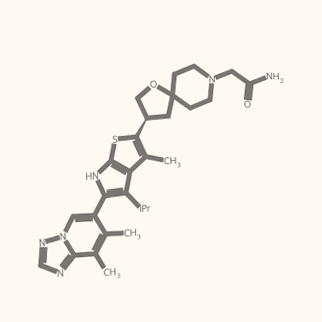 Cc1c(-c2[nH]c3sc([C@H]4COC5(CCN(CC(N)=O)CC5)C4)c(C)c3c2C(C)C)cn2ncnc2c1C